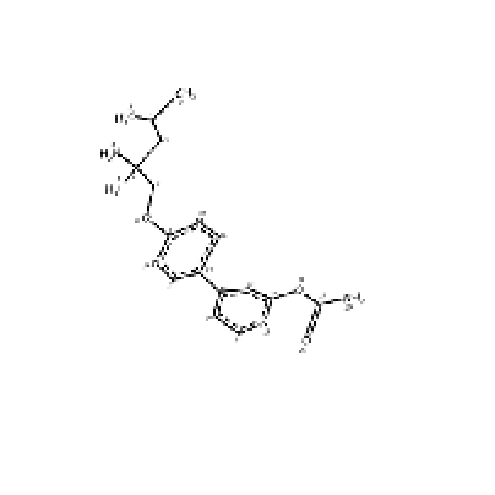 CC(C)CC(C)(N)COc1ncc(-c2ccnc(OC(N)=O)c2)cn1